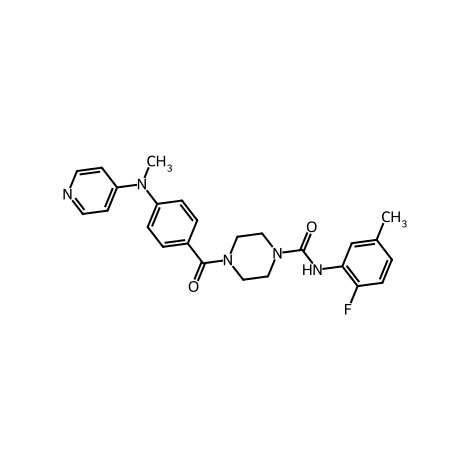 Cc1ccc(F)c(NC(=O)N2CCN(C(=O)c3ccc(N(C)c4ccncc4)cc3)CC2)c1